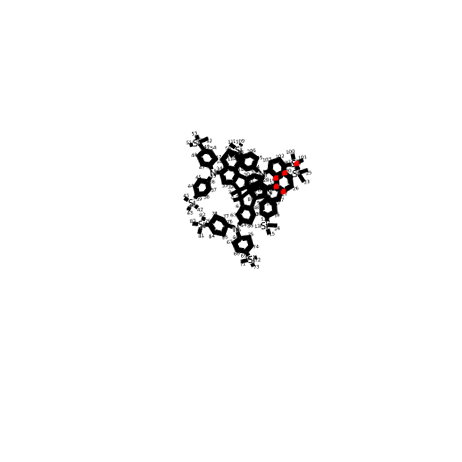 CC1(C2(C)c3cc(N(c4ccc([Si](C)(C)C)cc4)c4ccc([Si](C)(C)C)cc4)ccc3-c3c2cc(N(c2ccc([Si](C)(C)C)cc2)c2ccc([Si](C)(C)C)cc2)c2ccccc32)c2cc(N(c3ccc([Si](C)(C)C)cc3)c3ccc([Si](C)(C)C)cc3)ccc2-c2c1cc(N(c1ccc([Si](C)(C)C)cc1)c1ccc([Si](C)(C)C)cc1)c1ccccc21